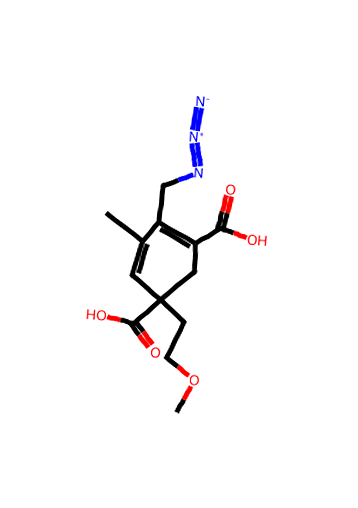 COCCC1(C(=O)O)C=C(C)C(CN=[N+]=[N-])=C(C(=O)O)C1